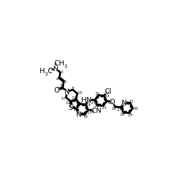 CN(C)C/C=C/C(=O)N1CCc2c(sc3ncc(C#N)c(Nc4ccc(OCc5ccccn5)c(Cl)c4)c23)C1